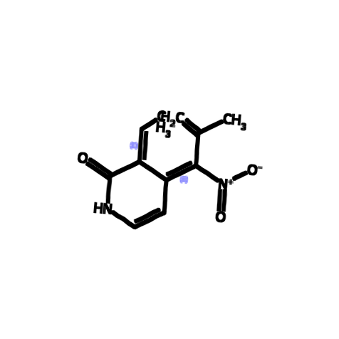 C=C(C)/C(=c1/cc[nH]c(=O)/c1=C/C)[N+](=O)[O-]